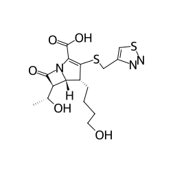 C[C@@H](O)[C@H]1C(=O)N2C(C(=O)O)=C(SCc3csnn3)[C@H](CCCCO)[C@H]12